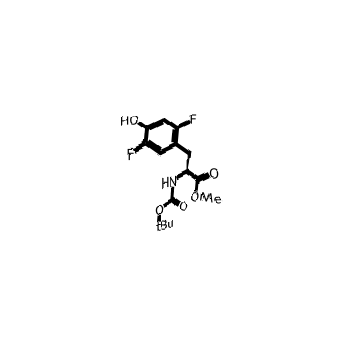 COC(=O)[C@H](Cc1cc(F)c(O)cc1F)NC(=O)OC(C)(C)C